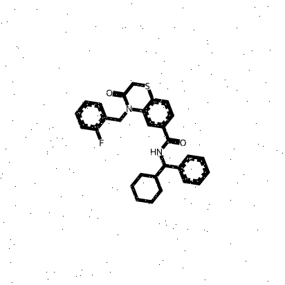 O=C(NC(c1ccccc1)C1CCCCC1)c1ccc2c(c1)N(Cc1ccccc1F)C(=O)CS2